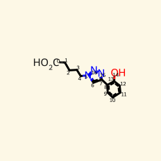 O=C(O)CCCCn1cc(-c2ccccc2O)nn1